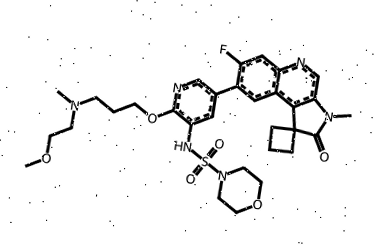 COCCN(C)CCCOc1ncc(-c2cc3c4c(cnc3cc2F)N(C)C(=O)C42CCC2)cc1NS(=O)(=O)N1CCOCC1